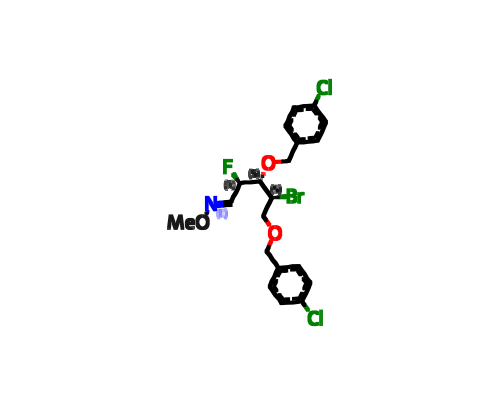 CO/N=C/[C@@H](F)[C@H](OCc1ccc(Cl)cc1)[C@@H](Br)COCc1ccc(Cl)cc1